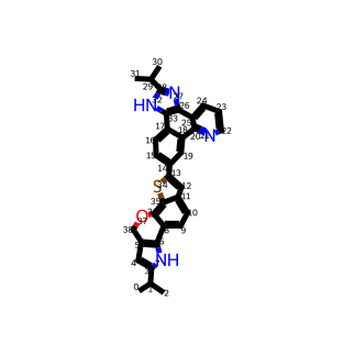 CC(C)c1cc2c([nH]1)-c1ccc3cc(-c4ccc5c(c4)c4ncccc4c4nc(C(C)C)[nH]c54)sc3c1OC2